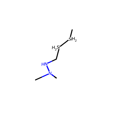 C[SiH2][SiH2]CNN(C)C